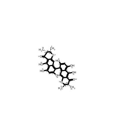 C[C@@H]1Oc2cc3c(-c4c(O)cc(O)c5c(O)c6c(cc45)O[C@H](C)[C@@H](C)C6=O)c(O)cc(O)c3c(O)c2C(=O)[C@@H]1C